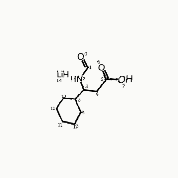 O=CNC(CC(=O)O)C1CCCCC1.[LiH]